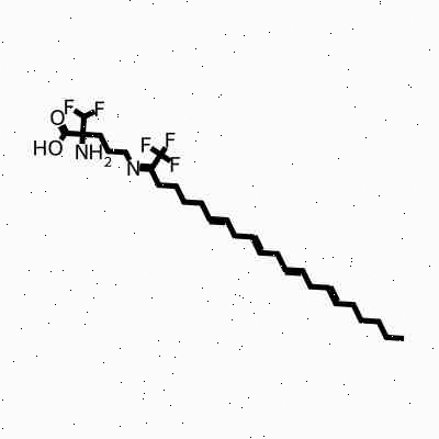 CCCCC/C=C/C/C=C/C/C=C/C/C=C/CCCC/C(=N/CCCC(N)(C(=O)O)C(F)F)C(F)(F)F